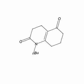 CCCCN1C(=O)CCC2=C1CCCC2=O